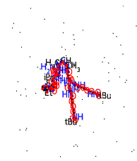 CCc1c2c(nc3ccccc13)-c1cc3c(c(=O)n1C2)COC(=O)[C@@]3(CC)OC(=O)[C@@H](NC(=O)[C@@H]1CCCN1C(=O)[C@H](CC(N)=O)NC(=O)CN(C)CCN(C)CCN(C)CCNC(=O)CCCC(=O)N[C@@H](CCC(=O)NCCNC(=O)CCOCCOCCOCCNC(=O)OC(C)(C)C)C(=O)NCCNC(=O)CCOCCOCCOCCNC(=O)OC(C)(C)C)C(C)C